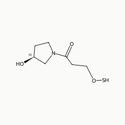 O=C(CCOS)N1CC[C@H](O)C1